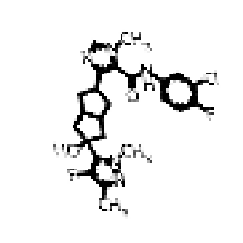 Cc1nn(C)c(C2(O)CC3CC(c4ncn(C)c4C(=O)Nc4ccc(F)c(Cl)c4)CC3C2)c1F